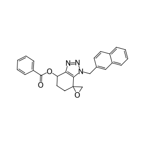 O=C(OC1CCC2(CO2)c2c1nnn2Cc1ccc2ccccc2c1)c1ccccc1